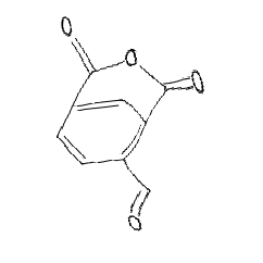 O=Cc1ccc2cc1C(=O)OC2=O